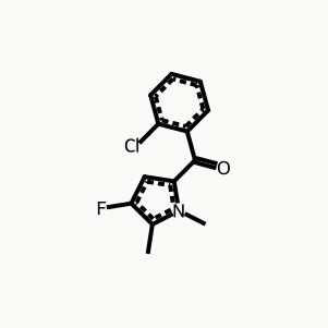 Cc1c(F)cc(C(=O)c2ccccc2Cl)n1C